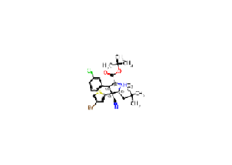 CC(C)(C)C[C@@H]1N[C@@H](C(=O)OC(C)(C)C)[C@H](c2cccc(Cl)c2)[C@@]1(C#N)c1cc(Br)cs1